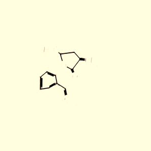 C=C1CC(C)OC1=O.C=Cc1ccccc1